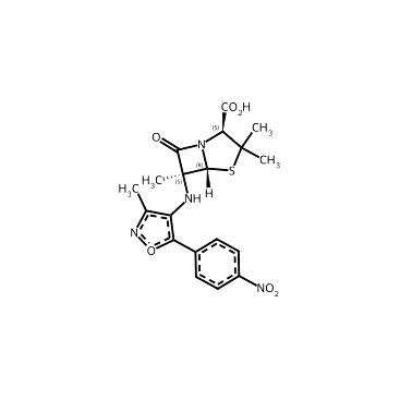 Cc1noc(-c2ccc([N+](=O)[O-])cc2)c1N[C@@]1(C)C(=O)N2[C@@H](C(=O)O)C(C)(C)S[C@@H]21